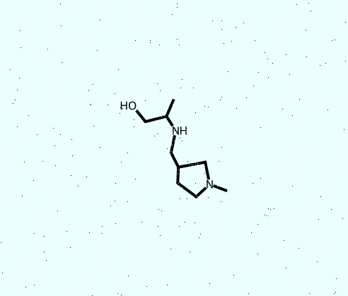 CC(CO)NCC1CCN(C)C1